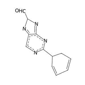 O=CC1N=c2cnc(C3C=CC=CC3)nc2=N1